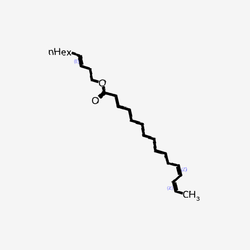 C/C=C\C=C/CCCCCCCCCCC(=O)OCC/C=C/CCCCCC